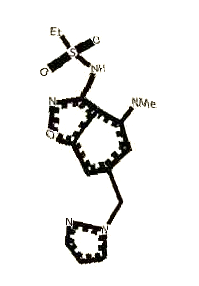 CCS(=O)(=O)Nc1noc2cc(Cn3cccn3)cc(NC)c12